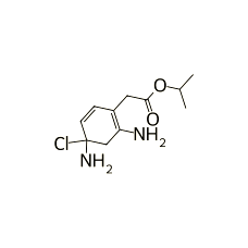 CC(C)OC(=O)CC1=C(N)CC(N)(Cl)C=C1